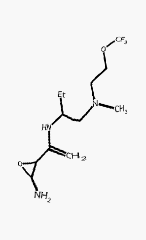 C=C(NC(CC)CN(C)CCOC(F)(F)F)C1OC1N